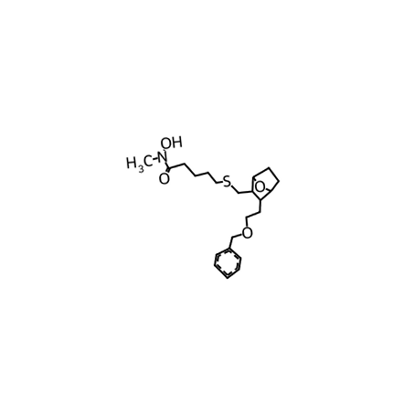 CN(O)C(=O)CCCCSCC1C2CCC(O2)C1CCOCc1ccccc1